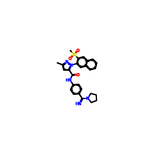 Cc1cc(C(=O)Nc2ccc(C(=N)N3CCCC3)cc2)n(-c2cc3ccccc3cc2S(C)(=O)=O)n1